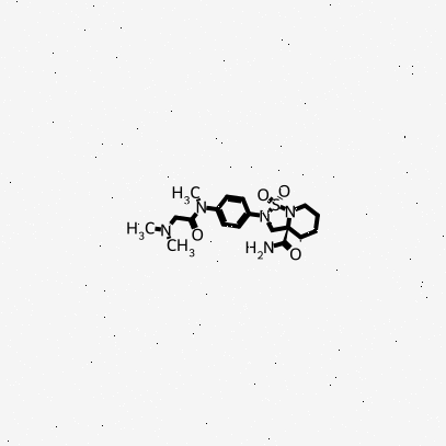 CN(C)CC(=O)N(C)c1ccc(N2C[C@@]3(C(N)=O)[CH]CCCN3S2(=O)=O)cc1